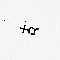 CC(C)(C)C1=NOC(=O)C1